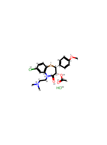 COc1ccc([C@H]2Sc3ccc(Cl)cc3N(CCN(C)C)C(=O)[C@H]2OC(C)=O)cc1.Cl